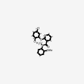 CSc1ccccc1N(C)C(=O)c1cccnc1Oc1cc(Cl)ccc1Cl